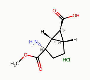 COC(=O)[C@]1(N)CC[C@H]2[C@H](C(=O)O)[C@H]21.Cl